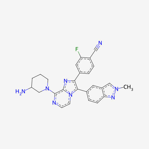 Cn1cc2cc(-c3c(-c4ccc(C#N)c(F)c4)nc4c(N5CCCC(N)C5)nccn34)ccc2n1